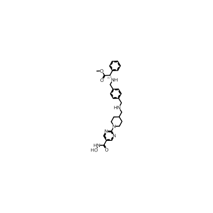 COC(=O)[C@@H](NCc1ccc(CNCC2CCN(c3ncc(C(=O)NO)cn3)CC2)cc1)c1ccccc1